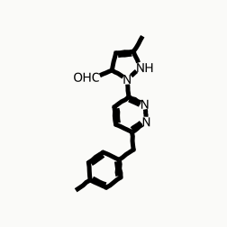 CC1=CC(C=O)N(c2ccc(Cc3ccc(C)cc3)nn2)N1